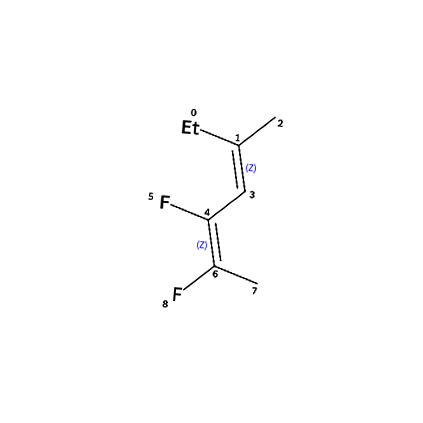 CC/C(C)=C\C(F)=C(/C)F